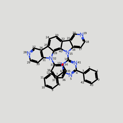 c1ccc(-c2nc(-c3ccccc3)nc(-n3c4ccncc4c4ccc5c6cnccc6n(-c6ccccc6)c5c43)n2)cc1